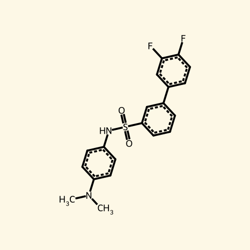 CN(C)c1ccc(NS(=O)(=O)c2cccc(-c3ccc(F)c(F)c3)c2)cc1